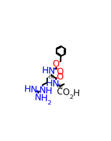 C[C@H](NC(=O)[C@H](CCCNC(=N)N)NC(=O)OCc1ccccc1)C(=O)O